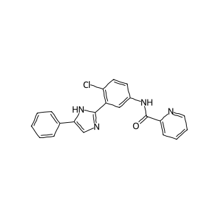 O=C(Nc1ccc(Cl)c(-c2ncc(-c3ccccc3)[nH]2)c1)c1ccccn1